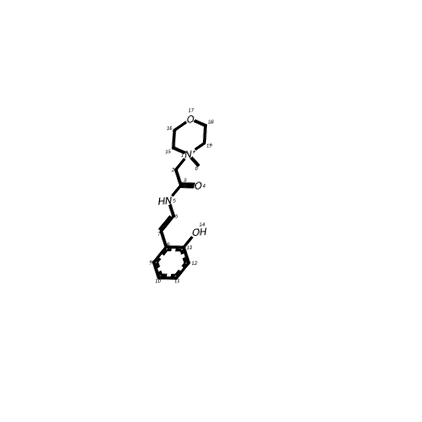 C[N+]1(CC(=O)N/C=C/c2ccccc2O)CCOCC1